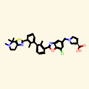 Cc1c(-c2nc3cc(CN4CC[C@@H](C(=O)O)C4)cc(Cl)c3o2)cccc1-c1cccc(-c2nc3c(s2)C(C)(C)N(C)CC3)c1C